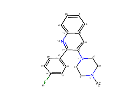 CC(=O)N1CCN(c2cc3ccccc3nc2-c2ccc(F)cc2)CC1